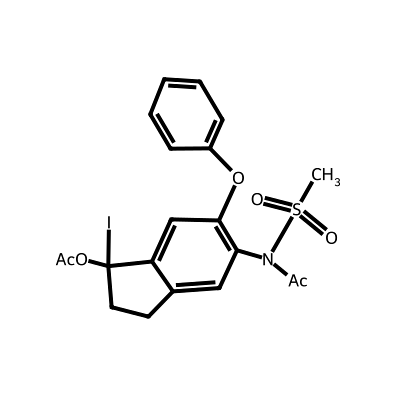 CC(=O)OC1(I)CCc2cc(N(C(C)=O)S(C)(=O)=O)c(Oc3ccccc3)cc21